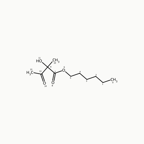 CCCCCCOC(=O)C(C)(O)C(C)=O